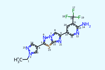 CCn1cc(-c2nn3cc(-c4cnc(N)c(C(F)(F)F)c4)nc3s2)cn1